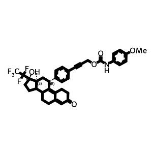 COc1ccc(NC(=O)OCC#Cc2ccc([C@H]3C[C@@]4(C)C(CC[C@@]4(O)C(F)(F)C(F)(F)F)C4CCC5=CC(=O)CCC5=C43)cc2)cc1